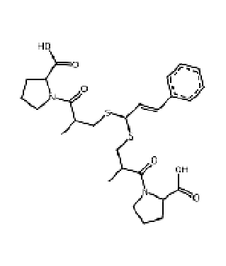 CC(CSC(/C=C/c1ccccc1)SCC(C)C(=O)N1CCCC1C(=O)O)C(=O)N1CCCC1C(=O)O